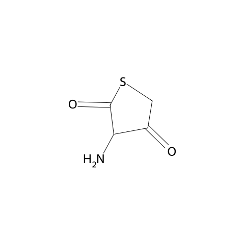 NC1C(=O)CSC1=O